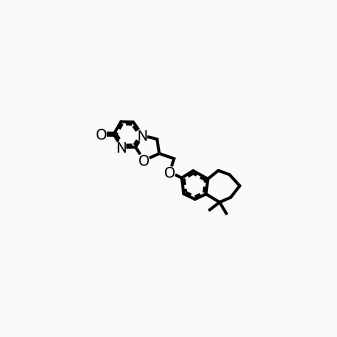 CC1(C)CCCCc2cc(OCC3Cn4ccc(=O)nc4O3)ccc21